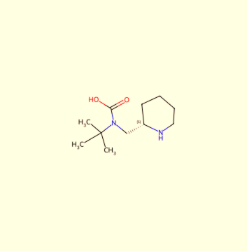 CC(C)(C)N(C[C@@H]1CCCCN1)C(=O)O